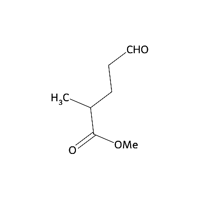 COC(=O)C(C)CCC=O